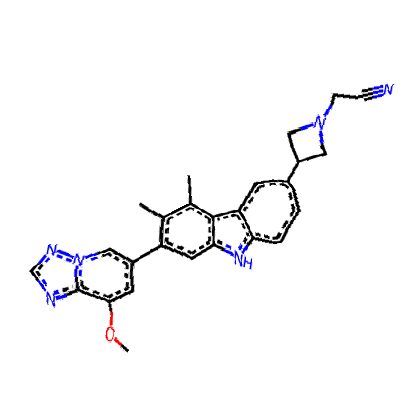 COc1cc(-c2cc3[nH]c4ccc(C5CN(CC#N)C5)cc4c3c(C)c2C)cn2ncnc12